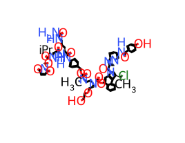 Cc1cccc2c(OC(=O)N(CCOCCO)CCN(C)C(=O)OCc3ccc(NC(=O)[C@H](CCCNC(N)=O)NC(=O)[C@@H](NC(=O)OCN4C(=O)C=CC4=O)C(C)C)cc3)cc3c(c12)[C@H](CCl)CN3C(=O)c1cn2cc(NC(=O)c3ccc(O)cc3)ccc2n1